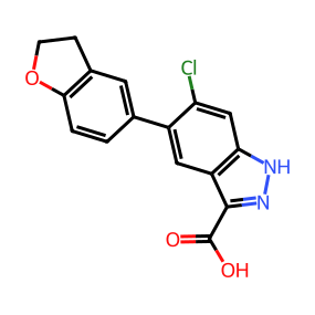 O=C(O)c1n[nH]c2cc(Cl)c(-c3ccc4c(c3)CCO4)cc12